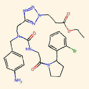 CCOC(=O)CCn1nnc(CN(Cc2ccc(N)cc2)C(=O)NCC(=O)N2CCCC2c2ccccc2Br)n1